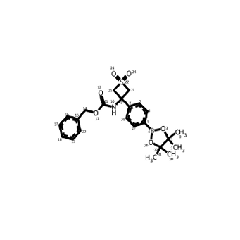 CC1(C)OB(c2ccc(C3(NC(=O)OCc4ccccc4)CS(=O)(=O)C3)cc2)OC1(C)C